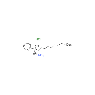 CCCCCCCCCCCCCCCCCC(N)C(CCC)(CCC)c1ccccc1.Cl